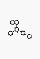 c1ccc(-c2ccc(-c3cc(-c4cccc5ccccc45)nc(-c4ccccc4)n3)cc2)cc1